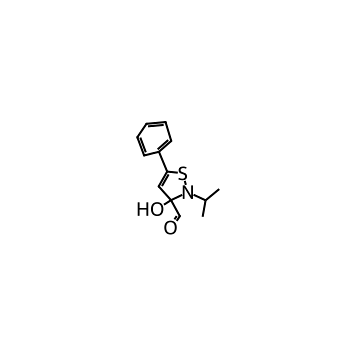 CC(C)N1SC(c2ccccc2)=CC1(O)C=O